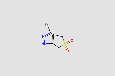 CCc1n[nH]c2c1CS(=O)(=O)C2